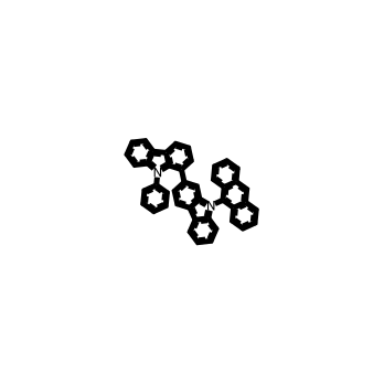 c1ccc(-n2c3ccccc3c3cccc(-c4ccc5c6ccccc6n(-c6c7ccccc7cc7ccccc67)c5c4)c32)cc1